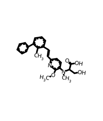 COc1nc(/C=C/c2cccc(-c3ccccc3)c2C)ccc1N(C)C(CO)C(=O)O